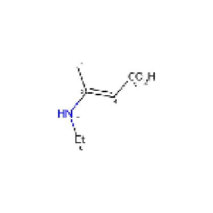 CCNC(C)=CC(=O)O